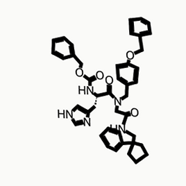 O=C(CN(Cc1ccc(OCc2ccccc2)cc1)C(=O)[C@H](Cc1c[nH]cn1)NC(=O)OCc1ccccc1)NCC1(c2ccccc2)CCCC1